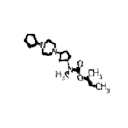 C/C=C(\C)OC(=O)N(C)[C@@H]1CC[C@H](N2CCN(C3CCCC3)CC2)C1